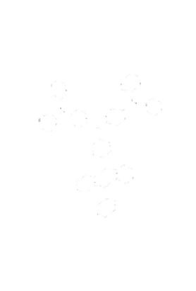 c1ccc(-c2c3ccccc3c(-c3cc4c5c(c3)Sc3cc(N(c6ccccc6)c6ccccc6)ccc3B5c3ccc(N(c5ccccc5)c5ccccc5)cc3S4)c3ccccc23)cc1